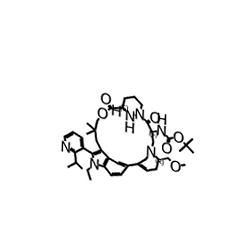 CCn1c(-c2cccnc2C(C)C)c2c3cc(ccc31)C1=CC[C@H](COC)N(C1)C[C@H](NC(=O)OC(C)(C)C)C(=O)N1CCC[C@H](N1)C(=O)OCC(C)(C)C2